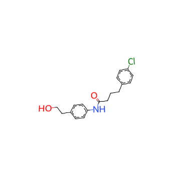 O=C(CCCc1ccc(Cl)cc1)Nc1ccc(CCO)cc1